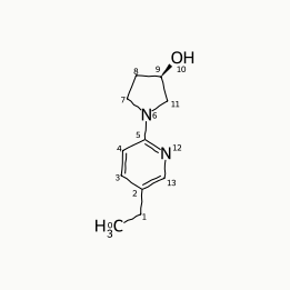 CCc1ccc(N2CC[C@@H](O)C2)nc1